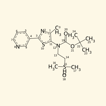 Cc1nc(-c2cccnc2)sc1N(CC[SH](C)(C)=O)C(=O)OC(C)(C)C